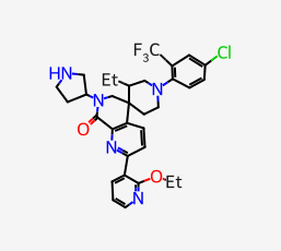 CCOc1ncccc1-c1ccc2c(n1)C(=O)N(C1CCNC1)CC21CCN(c2ccc(Cl)cc2C(F)(F)F)CC1CC